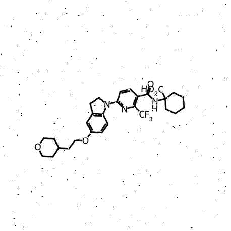 O=C(NC1(C(=O)O)CCCCC1)c1ccc(N2CCc3cc(OCCC4CCOCC4)ccc32)nc1C(F)(F)F